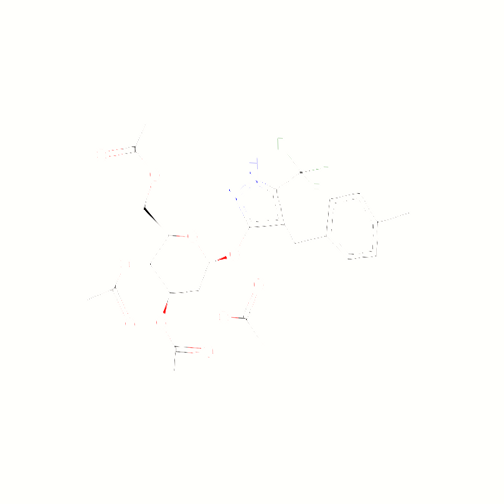 CC(=O)OC[C@H]1O[C@@H](Oc2n[nH]c(C(F)(F)F)c2Cc2ccc(C)cc2)[C@H](OC(C)=O)[C@@H](OC(C)=O)[C@@H]1OC(C)=O